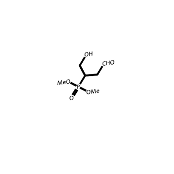 COP(=O)(OC)C(CO)CC=O